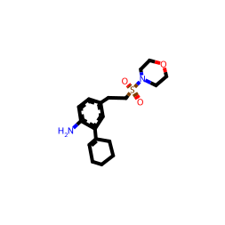 Nc1ccc(CCS(=O)(=O)N2CCOCC2)cc1C1=CCCCC1